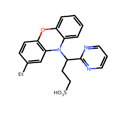 CCc1ccc2c(c1)N(C(CCS(=O)(=O)O)c1ncccn1)c1ccccc1O2